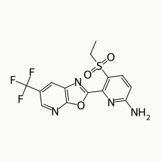 CCS(=O)(=O)c1ccc(N)nc1-c1nc2cc(C(F)(F)F)cnc2o1